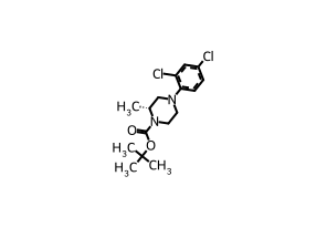 C[C@@H]1CN(c2ccc(Cl)cc2Cl)CCN1C(=O)OC(C)(C)C